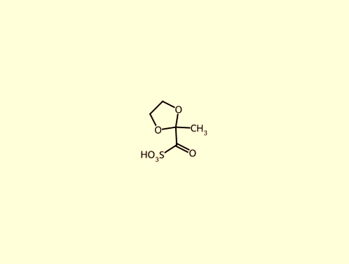 CC1(C(=O)S(=O)(=O)O)OCCO1